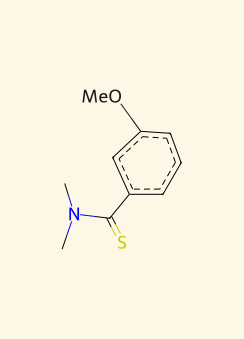 COc1cccc(C(=S)N(C)C)c1